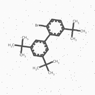 CC(C)(C)c1cc(-c2cc(C(C)(C)C)ccc2Br)cc(C(C)(C)C)c1